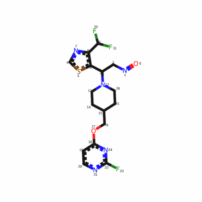 O=NCC(c1scnc1C(F)F)N1CCC(COc2ccnc(F)n2)CC1